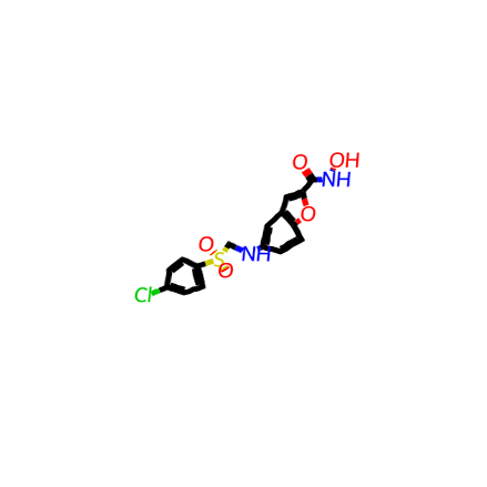 O=C(NO)c1cc2cc(NCS(=O)(=O)c3ccc(Cl)cc3)ccc2o1